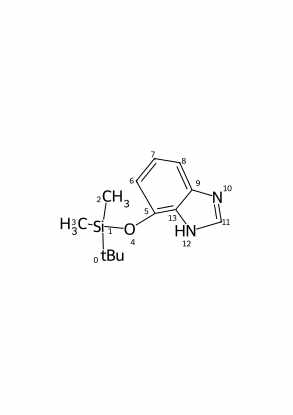 CC(C)(C)[Si](C)(C)Oc1cccc2nc[nH]c12